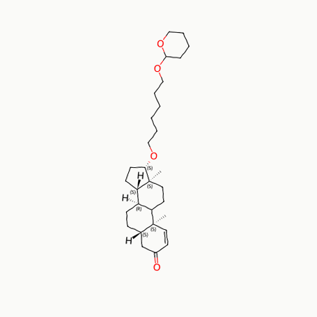 C[C@]12CCC3[C@@H](CC[C@H]4CC(=O)C=C[C@]34C)[C@@H]1CC[C@@H]2OCCCCCCOC1CCCCO1